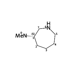 CN[C@H]1CCCCNC1